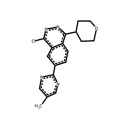 Cc1cnc(-c2ccc3c(C4CCOCC4)nnc(Cl)c3c2)nc1